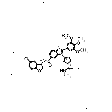 CNC(=O)[C@@H]1CC[C@@H](n2c(-c3cc(OC)c(OC)c(OC)c3)nc3ccc(C(=O)NC4COc5ccc(Cl)cc54)cc32)C1